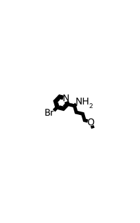 COCCCC(N)c1cc(Br)ccn1